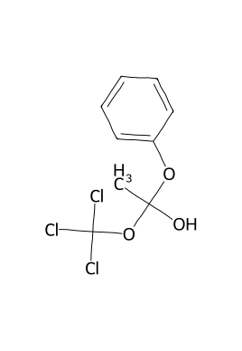 CC(O)(Oc1ccccc1)OC(Cl)(Cl)Cl